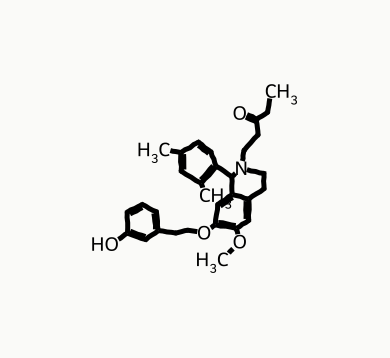 CCC(=O)CCN1CCc2cc(OC)c(OCCc3cccc(O)c3)cc2C1c1ccc(C)cc1C